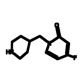 O=c1cc(F)ccn1CC1CCNCC1